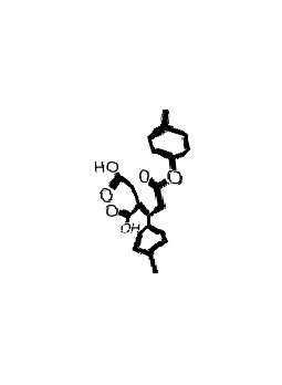 Cc1ccc(OC(=O)CC(=C(CC(=O)O)C(=O)O)c2ccc(C)cc2)cc1